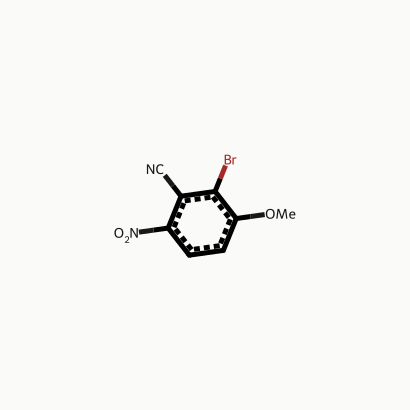 COc1ccc([N+](=O)[O-])c(C#N)c1Br